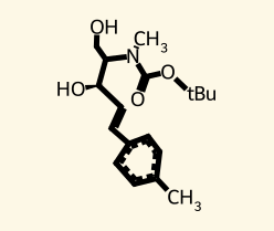 Cc1ccc(/C=C/[C@@H](O)C(CO)N(C)C(=O)OC(C)(C)C)cc1